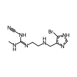 CNC(=NCCNCc1nc[nH]c1Br)NC#N